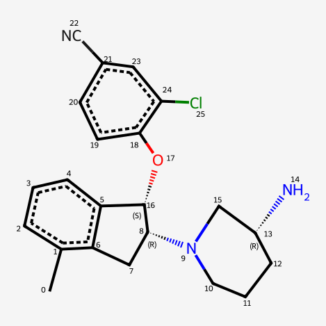 Cc1cccc2c1C[C@@H](N1CCC[C@@H](N)C1)[C@H]2Oc1ccc(C#N)cc1Cl